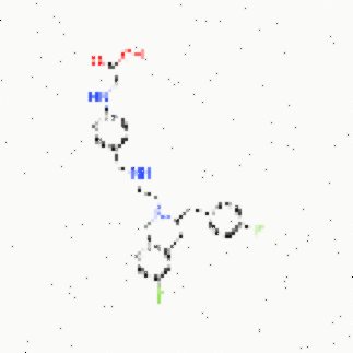 O=C(O)CNc1ccc(CNCCN2Cc3ccc(F)cc3CC2Cc2ccc(F)cc2)cc1